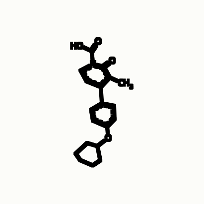 Cc1c(-c2ccc(OC3CCCCC3)cc2)ccn(C(=O)O)c1=O